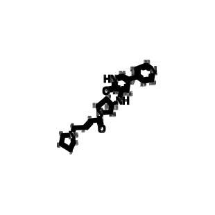 O=C(C=CCN1CCCC1)N1CC[C@@H](Nc2cc(-c3ccncc3)c[nH]c2=O)C1